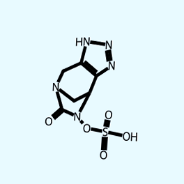 O=C1N2Cc3[nH]nnc3C(C2)N1OS(=O)(=O)O